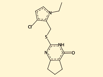 CCn1ccc(Cl)c1CSc1nc2c(c(=O)[nH]1)CCC2